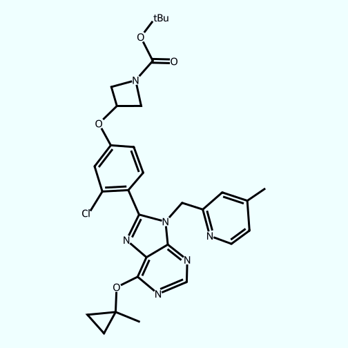 Cc1ccnc(Cn2c(-c3ccc(OC4CN(C(=O)OC(C)(C)C)C4)cc3Cl)nc3c(OC4(C)CC4)ncnc32)c1